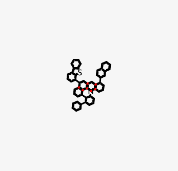 c1ccc(-c2ccccc2-c2c(-c3ccccc3)cccc2N(c2ccc(-c3cccc4c3sc3ccccc34)cc2)c2cccc(-c3ccc4ccccc4c3)c2)cc1